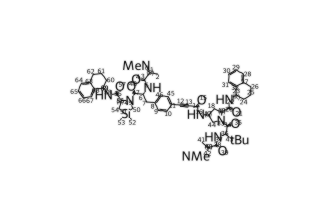 CN[C@@H](C)C(=O)NC(Cc1ccc(C#CC(=O)N[C@H]2C[C@@H](C(=O)N[C@@H]3CCCc4ccccc43)N(C(=O)C(NC(=O)[C@H](C)NC)C(C)(C)C)C2)cc1)C(=O)N1C[Si](C)(C)C[C@H]1C(=O)N[C@@H]1CCCc2ccccc21